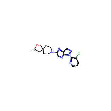 C[C@H]1CC2(CCN(c3cnc4c(cnn4-c4ncccc4Cl)n3)CC2)CO1